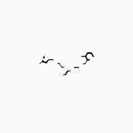 Cc1cc(CSCCNC(=C[N+](=O)[O-])NCCSCc2ncccc2Cl)no1